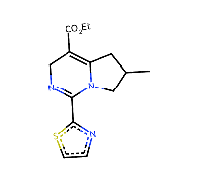 CCOC(=O)C1=C2CC(C)CN2C(c2nccs2)=NC1